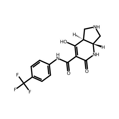 O=C(Nc1ccc(C(F)(F)F)cc1)C1=C(O)[C@H]2CNC[C@@H]2NC1=O